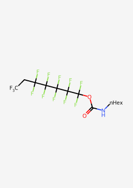 CCCCCCNC(=O)OC(F)(F)C(F)(F)C(F)(F)C(F)(F)C(F)(F)CC(F)(F)F